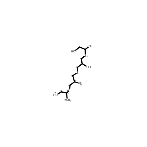 CC(CO)SCC(O)CSCC(O)CSC(C)CO